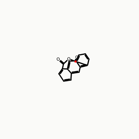 O=C1OC(=O)c2cccc3cc4c1cccc4cc23